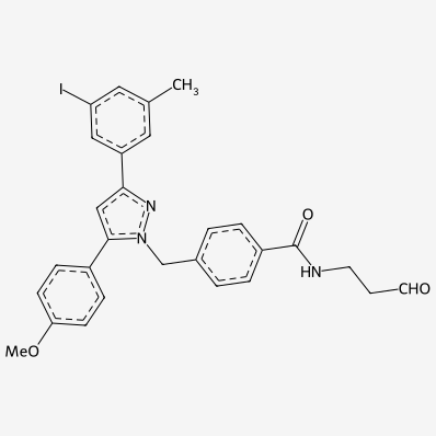 COc1ccc(-c2cc(-c3cc(C)cc(I)c3)nn2Cc2ccc(C(=O)NCCC=O)cc2)cc1